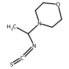 CC(N=C=S)N1CCOCC1